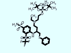 CCN(CCOP(=O)(OC(C)(C)C)OC(C)(C)C)CCC(CSc1ccccc1)Nc1ccc(S(N)(=O)=O)cc1S(=O)(=O)C(F)(F)F